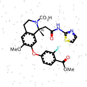 COC(=O)c1ccc(Oc2cc3c(cc2OC)CCN(C(=O)O)[C@]3(C)CC(=O)Nc2nccs2)cc1F